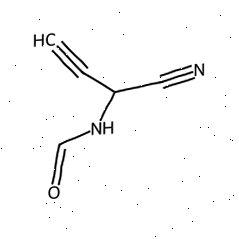 C#CC(C#N)NC=O